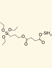 CCO[Si](CCCOC(=O)CCC(=O)O[SiH3])(OCC)OCC